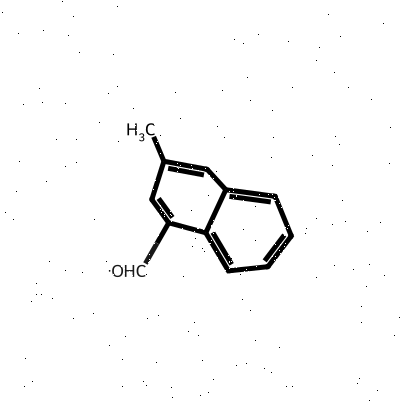 Cc1cc([C]=O)c2ccccc2c1